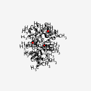 C[SiH](C)O[Si](CC[Si](O[SiH](C)C)(O[SiH](C)C)O[Si](CC[Si](O[SiH](C)C)(O[SiH](C)C)O[Si](CC[Si](O[SiH](C)C)(O[SiH](C)C)O[SiH](C)C)(O[SiH](C)C)O[SiH](C)C)(O[SiH](C)C)O[SiH](C)C)(O[SiH](C)C)O[SiH](C)C